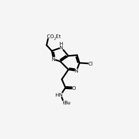 CCOC(=O)Cc1nc2c(CC(=O)NC(C)(C)C)nc(Cl)cc2[nH]1